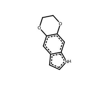 c1cc2cc3c(cc2[nH]1)OCCO3